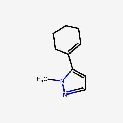 Cn1nccc1C1=CCCCC1